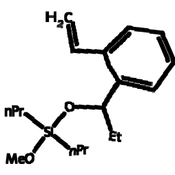 C=Cc1ccccc1C(CC)O[Si](CCC)(CCC)OC